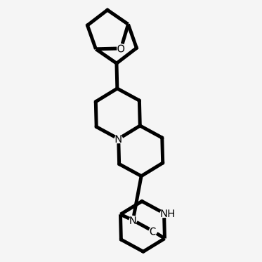 C1CC2CNC1CN2C1CCC2CC(C3CC4CCC3O4)CCN2C1